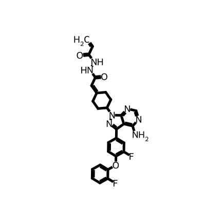 C=CC(=O)NNC(=O)C=C1CCC(n2nc(-c3ccc(Oc4ccccc4F)c(F)c3)c3c(N)ncnc32)CC1